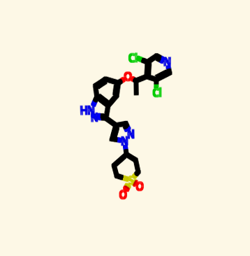 CC(Oc1ccc2[nH]nc(-c3cnn(C4CCS(=O)(=O)CC4)c3)c2c1)c1c(Cl)cncc1Cl